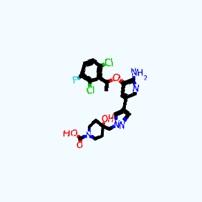 CC(Oc1cc(-c2cnn(CC3(O)CCN(C(=O)O)CC3)c2)cnc1N)c1c(Cl)ccc(F)c1Cl